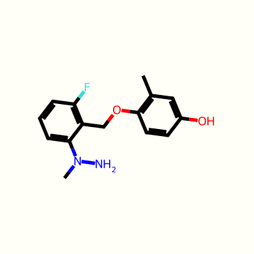 Cc1cc(O)ccc1OCc1c(F)cccc1N(C)N